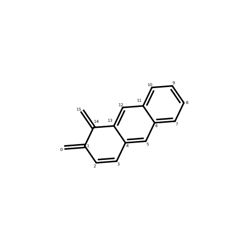 C=c1ccc2cc3ccccc3cc2c1=C